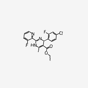 CCOC(=O)C1=C(C)NC(c2ncccc2F)=NC1c1ccc(Cl)cc1F